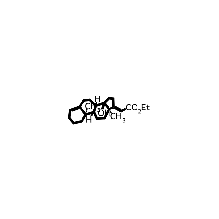 CCOC(=O)C=C1CCC2(O)[C@@H]3CCC4=CCCC[C@]4(C)[C@H]3CC[C@]12C